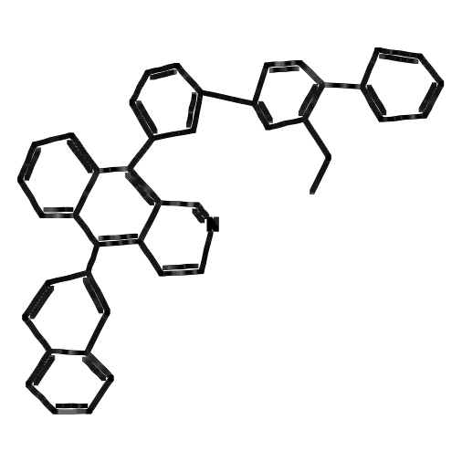 CCc1cc(-c2cccc(-c3c4ccccc4c(-c4ccc5ccccc5c4)c4ccncc34)c2)ccc1-c1ccccc1